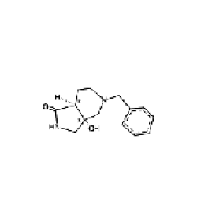 O=C1NC[C@]2(O)CN(Cc3ccccc3)CC[C@H]12